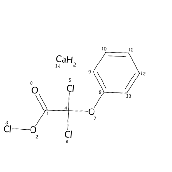 O=C(OCl)C(Cl)(Cl)Oc1ccccc1.[CaH2]